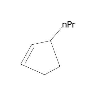 CCCC1C=CCC1